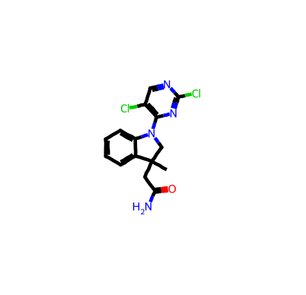 CC1(CC(N)=O)CN(c2nc(Cl)ncc2Cl)c2ccccc21